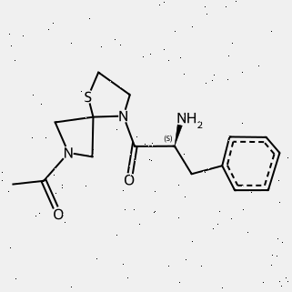 CC(=O)N1CC2(C1)SCCN2C(=O)[C@@H](N)Cc1ccccc1